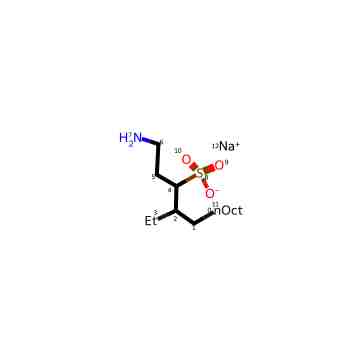 CCCCCCCCCC(CC)C(CCN)S(=O)(=O)[O-].[Na+]